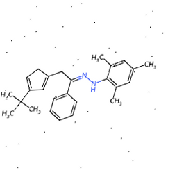 Cc1cc(C)c(NN=C(CC2=CC(C(C)(C)C)=CC2)c2ccccc2)c(C)c1